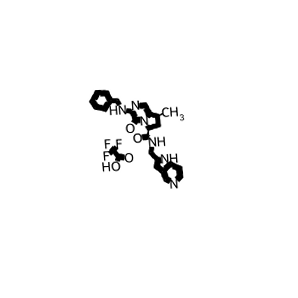 C[C@@H]1C[C@@H](C(=O)NCc2cc3cnccc3[nH]2)n2c1cnc(NCc1ccccc1)c2=O.O=C(O)C(F)(F)F